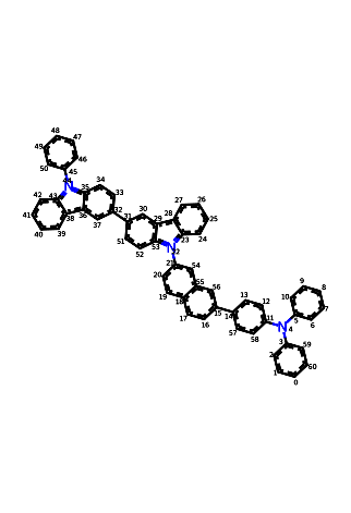 c1ccc(N(c2ccccc2)c2ccc(-c3ccc4ccc(-n5c6ccccc6c6cc(-c7ccc8c(c7)c7ccccc7n8-c7ccccc7)ccc65)cc4c3)cc2)cc1